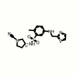 Cc1ccc(NCc2nccs2)cc1S(=O)(=O)N[C@@H]1CCN(C#N)C1